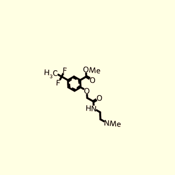 CNCCNC(=O)COc1ccc(C(C)(F)F)cc1C(=O)OC